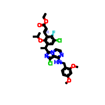 CCOC(=O)/C=C/c1c(F)c(Cl)cc(C(C)c2nc(Cl)c3c(NCc4ccc(OC)cc4OC)nccn23)c1OC(C)C